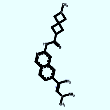 CN(N)/C=C(\N)c1ccc2cnc(NC(=O)C3CC4(C3)CN(C)C4)cc2c1